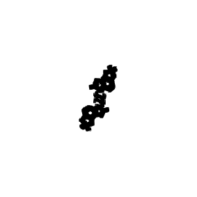 CC1=Cc2c(ccc3c2CC(C)(C)C3)C1[Si](C)(C)[Si](C)(C)C1C(C)=Cc2c1ccc1c2CC(C)(C)C1